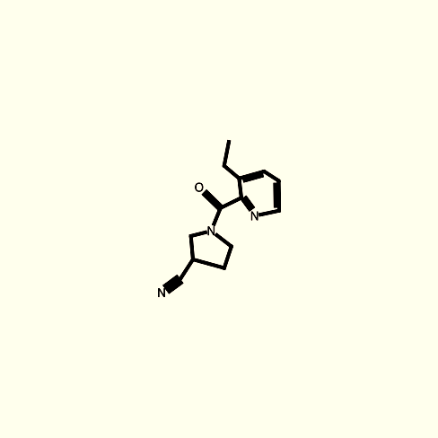 CCc1cccnc1C(=O)N1CCC(C#N)C1